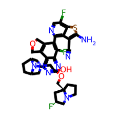 N#Cc1c(N)sc2c(F)cnc(-c3c4c(c5c(N6C7CCC6CN(CCO)C7)nc(OC[C@@]67CCCN6C[C@H](F)C7)nc5c3F)COC4)c12